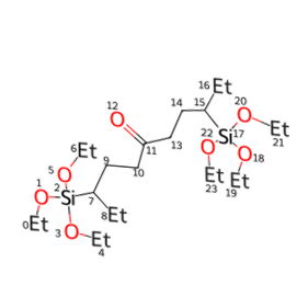 CCO[Si](OCC)(OCC)C(CC)CCC(=O)CCC(CC)[Si](OCC)(OCC)OCC